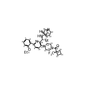 CCOc1ccccc1-c1ccc(N2CCN(C(=O)C3(C(F)(F)F)CCC3)C[C@H]2CC)c(CN[C@@H]2CN3CCC2CC3)n1